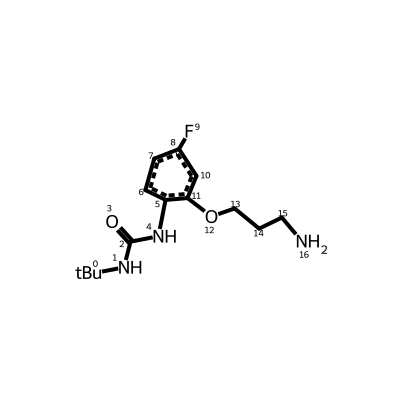 CC(C)(C)NC(=O)Nc1ccc(F)cc1OCCCN